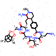 CCCCN1CCC(c2ccc(C(=O)N[C@@H](CCN)C(=O)N[C@H](C(=O)N[C@@H](C)C(=O)N[C@@H](CCCCN)C(=O)N[C@@H](C)B3OC4C[C@@H]5C[C@@H](C5(C)C)[C@]4(C)O3)[C@@H](C)O)cc2)CC1